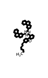 C\C=C/C=C\C=C\c1ccc2c(c1)oc1cccc(-c3nc(-c4ccc5ccc6ccccc6c5c4)nc(-c4ccc5ccc6ccccc6c5c4)n3)c12